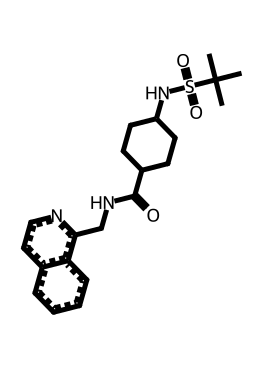 CC(C)(C)S(=O)(=O)NC1CCC(C(=O)NCc2nccc3ccccc23)CC1